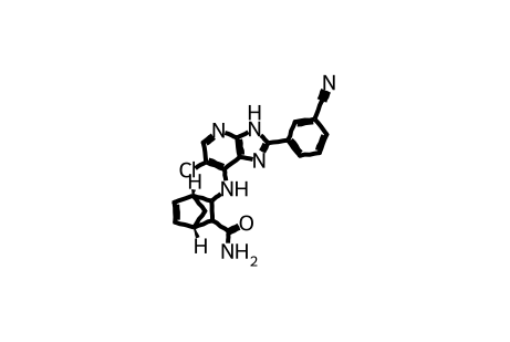 N#Cc1cccc(-c2nc3c(NC4C(C(N)=O)[C@@H]5C=C[C@H]4C5)c(Cl)cnc3[nH]2)c1